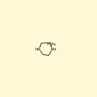 C1CNCCN1.[PoH2]